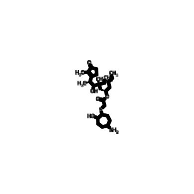 C=C[C@](C)(C[C@H](CCCC)OC(=O)CSC1CCC(N)CCC1O)C(O)[C@H](C)C1=C(C)C(=O)CC1